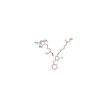 CCCOC(=O)CCCCCC[C@@H]1[C@@H](/C=C/[C@@H](O)CCC[C@@H](C)O[Si](C)(C)C(C)(C)C)[C@H](OC2CCCCO2)C[C@H]1Cl